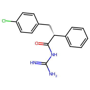 N=C(N)NC(=O)[C@H](Cc1ccc(Cl)cc1)c1ccccc1